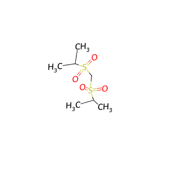 CC(C)S(=O)(=O)CS(=O)(=O)C(C)C